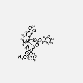 CC(C)(C)OC(=O)O[C@@H]1C(=O)C(OC(=O)OCc2ccccc2)=C2c3cc4c(cc3CCN3CCC[C@@]213)OCO4